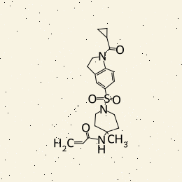 C=CC(=O)NC1(C)CCN(S(=O)(=O)c2ccc3c(c2)CCN3C(=O)C2CC2)CC1